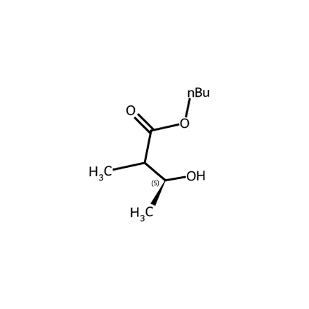 CCCCOC(=O)C(C)[C@H](C)O